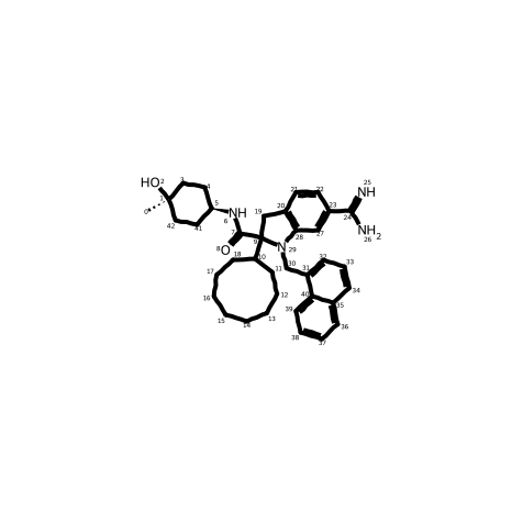 C[C@]1(O)CC[C@@H](NC(=O)C2(C3CCCCCCCC3)Cc3ccc(C(=N)N)cc3N2Cc2cccc3ccccc23)CC1